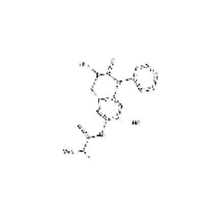 CCCN1Cc2nc(NC(=O)C(C)NC)ccc2N(c2ccccc2)C1=O.Cl